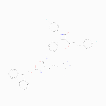 C[N+](C)(C)CCCCC(NC(=O)OCC1c2ccccc2-c2ccccc21)C(=O)NCc1ccc(C2C(C(O)CCc3ccc(F)cc3)C(=O)N2c2ccc(F)cc2)cc1.[Cl-]